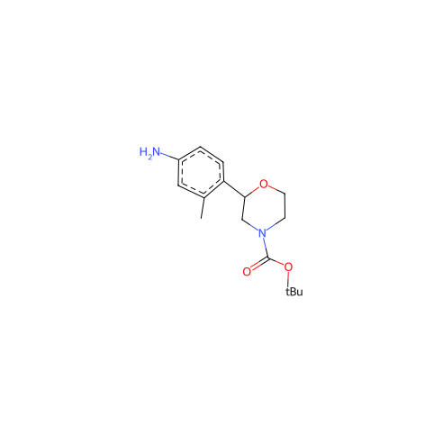 Cc1cc(N)ccc1C1CN(C(=O)OC(C)(C)C)CCO1